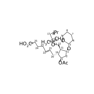 CC(=O)O[C@@H]1C[C@@H](OC2CCCCO2)[C@H](CO[Si](C)(C)CC(C)C)[C@H]1CC=CCCCC(=O)O